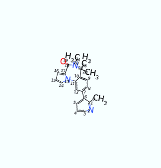 Cc1ncccc1-c1ccc2c(c1)-n1cccc1C(=O)N(C)C2(C)C